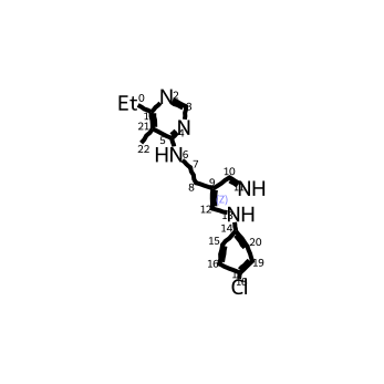 CCc1ncnc(NCC/C(C=N)=C/Nc2ccc(Cl)cc2)c1C